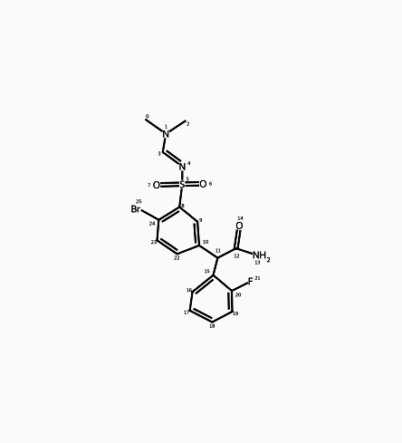 CN(C)C=NS(=O)(=O)c1cc(C(C(N)=O)c2ccccc2F)ccc1Br